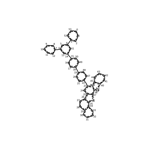 c1ccc(-c2cc(-c3ccccc3)cc(-c3ccc(-c4ccc(-c5cc6c7ccc8ccccc8c7sc6c6nc7ccccc7n56)cc4)cc3)c2)cc1